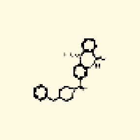 CN1c2ccc(C(=O)N3CCC(Cc4ccccc4)CC3)cc2NC(=O)c2ccccc21